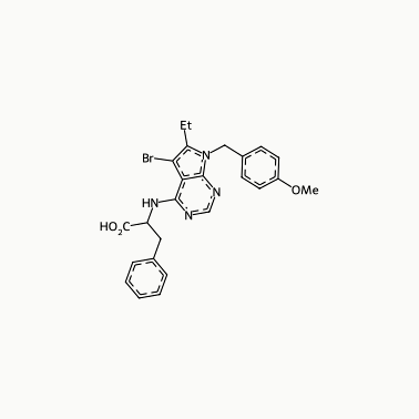 CCc1c(Br)c2c(NC(Cc3ccccc3)C(=O)O)ncnc2n1Cc1ccc(OC)cc1